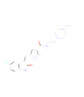 CCOC(=O)CN1CCN(CCNC(=O)c2c(C)[nH]c(/C=C3\C(=O)Nc4ccc(F)cc43)c2C)CC1